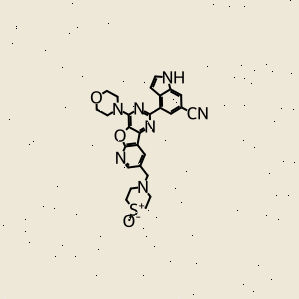 N#Cc1cc(-c2nc(N3CCOCC3)c3oc4ncc(CN5CC[S+]([O-])CC5)cc4c3n2)c2cc[nH]c2c1